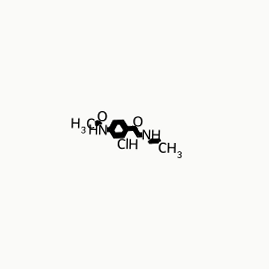 CCCNCC(=O)c1ccc(NC(C)=O)cc1.Cl